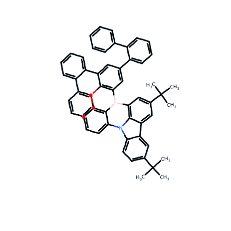 CC(C)(C)c1ccc2c(c1)c1cc(C(C)(C)C)cc3c1n2-c1cccc2c1B3c1cc(-c3ccccc3-c3ccccc3)cc(-c3ccccc3-c3ccccc3)c1O2